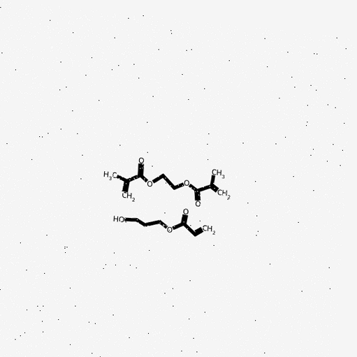 C=C(C)C(=O)OCCOC(=O)C(=C)C.C=CC(=O)OCCCO